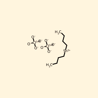 CCC[CH2][Sn+2][CH2]CCC.[O-][Cl+3]([O-])([O-])[O-].[O-][Cl+3]([O-])([O-])[O-]